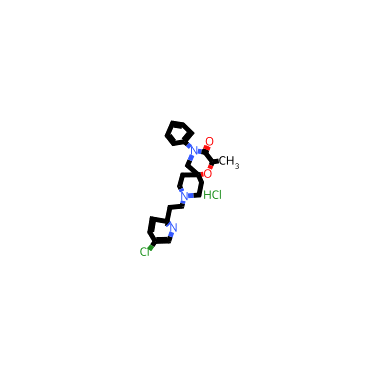 CC1OC2(CCN(CCc3ccc(Cl)cn3)CC2)CN(c2ccccc2)C1=O.Cl